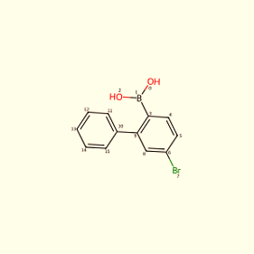 OB(O)c1ccc(Br)cc1-c1ccccc1